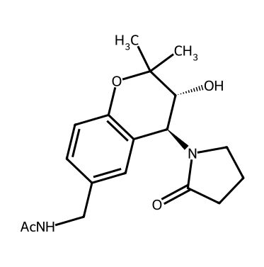 CC(=O)NCc1ccc2c(c1)[C@H](N1CCCC1=O)[C@@H](O)C(C)(C)O2